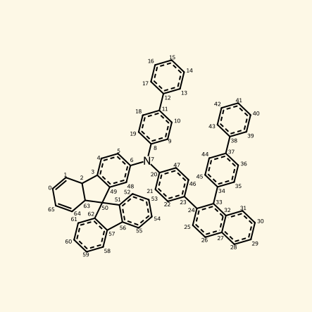 C1=CC2c3ccc(N(c4ccc(-c5ccccc5)cc4)c4ccc(-c5ccc6ccccc6c5-c5ccc(-c6ccccc6)cc5)cc4)cc3C3(c4ccccc4-c4ccccc43)C2C=C1